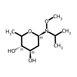 CON(C(C)C)[C@H]1C[C@@H](O)[C@H](O)C(C)O1